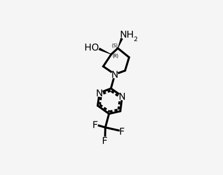 N[C@H]1CCN(c2ncc(C(F)(F)F)cn2)C[C@H]1O